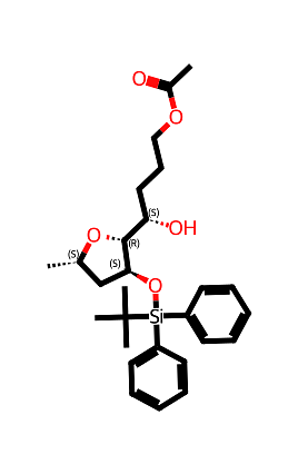 CC(=O)OCCC[C@H](O)[C@H]1O[C@@H](C)C[C@@H]1O[Si](c1ccccc1)(c1ccccc1)C(C)(C)C